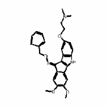 COc1cc2c(cc1OC)-c1[nH]c3ccc(OCCN(C)C)cc3c1C2=NOCc1ccccc1